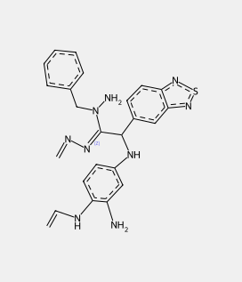 C=CNc1ccc(NC(/C(=N/N=C)N(N)Cc2ccccc2)c2ccc3nsnc3c2)cc1N